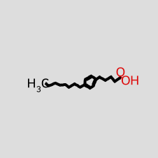 CCCCCCCCc1ccc(CCCCC(=O)O)cc1